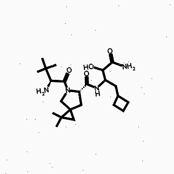 CC(C)(C)[C@H](N)C(=O)N1CC2(C[C@H]1C(=O)NC(CC1CCC1)C(O)C(N)=O)CC2(C)C